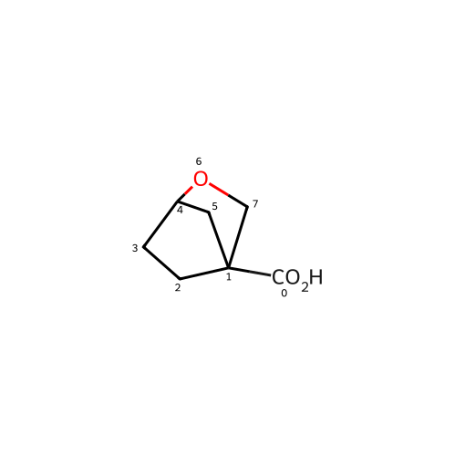 O=C(O)C12CCC(C1)OC2